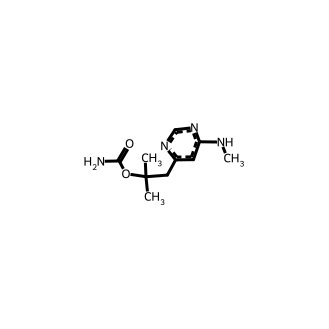 CNc1cc(CC(C)(C)OC(N)=O)ncn1